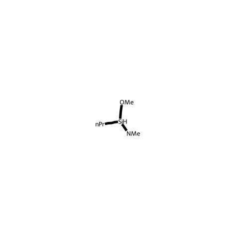 CCC[SiH](NC)OC